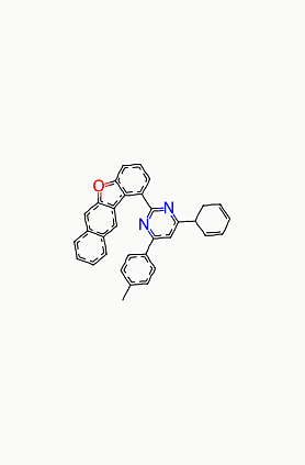 Cc1ccc(-c2cc(C3C=CC=CC3)nc(-c3cccc4oc5cc6ccccc6cc5c34)n2)cc1